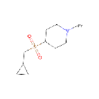 CC(C)N1CCC(S(=O)(=O)CC2CC2)CC1